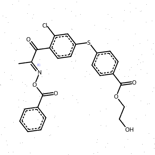 C/C(=N\OC(=O)c1ccccc1)C(=O)c1ccc(Sc2ccc(C(=O)OCCO)cc2)cc1Cl